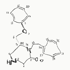 O=C1CNC[C@H](COc2ccccc2)N1Cc1ccccc1